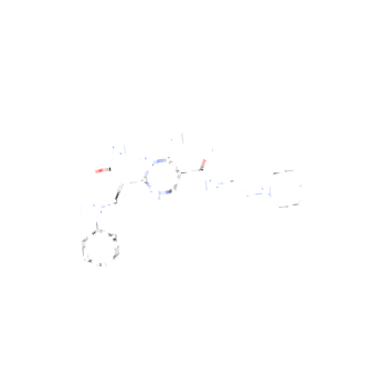 NC(=O)/C(=C1\Nc2ccccc2S1)c1ncc(C(=O)NCCN2CCOCC2)c(C(F)(F)F)n1